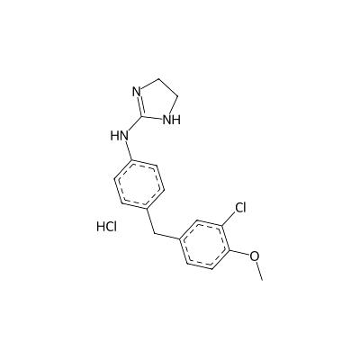 COc1ccc(Cc2ccc(NC3=NCCN3)cc2)cc1Cl.Cl